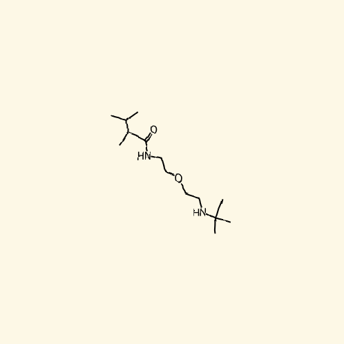 CC(C)C(C)C(=O)NCCOCCNC(C)(C)C